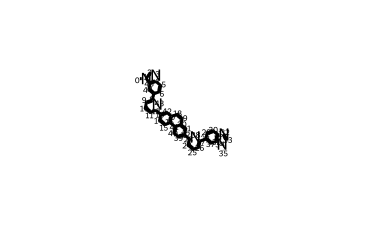 Cn1cnc2ccc(-c3cccc(-c4ccc5c(ccc6cc(-c7cccc(-c8ccc9ncn(C)c9c8)n7)ccc65)c4)n3)cc21